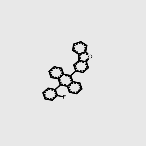 Fc1ccccc1-c1c2ccccc2c(-c2ccc3oc4ccccc4c3c2)c2ccccc12